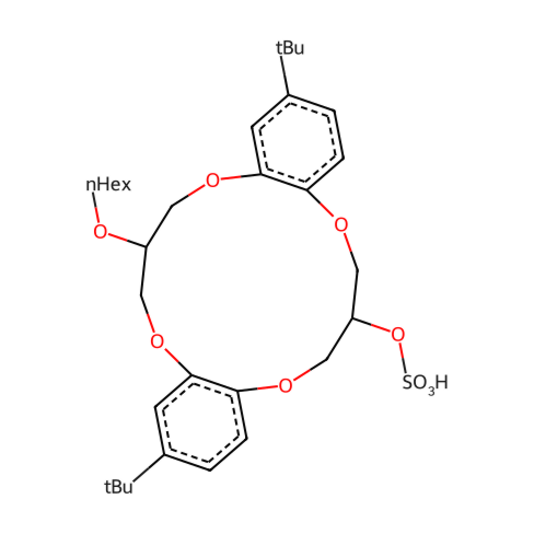 CCCCCCOC1COc2cc(C(C)(C)C)ccc2OCC(OS(=O)(=O)O)COc2ccc(C(C)(C)C)cc2OC1